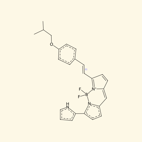 CC(C)COc1ccc(/C=C/C2=[N+]3C(=Cc4ccc(-c5ccc[nH]5)n4[B-]3(F)F)C=C2)cc1